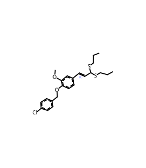 CCCSC(/C=C/c1ccc(OCc2ccc(Cl)cc2)c(OC)c1)SCCC